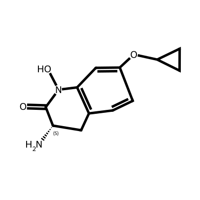 N[C@H]1Cc2ccc(OC3CC3)cc2N(O)C1=O